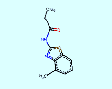 COCC(=O)Nc1nc2c(C)cccc2s1